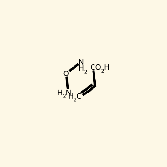 C=CC(=O)O.NON